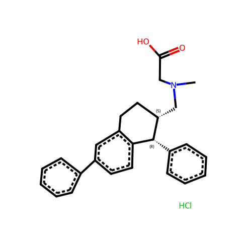 CN(CC(=O)O)C[C@H]1CCc2cc(-c3ccccc3)ccc2[C@H]1c1ccccc1.Cl